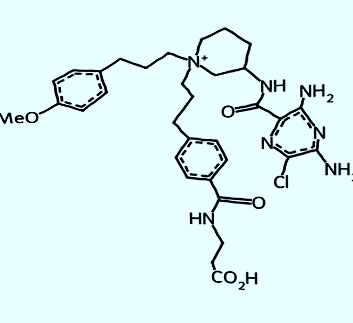 COc1ccc(CCC[N+]2(CCCc3ccc(C(=O)NCCC(=O)O)cc3)CCCC(NC(=O)c3nc(Cl)c(N)nc3N)C2)cc1